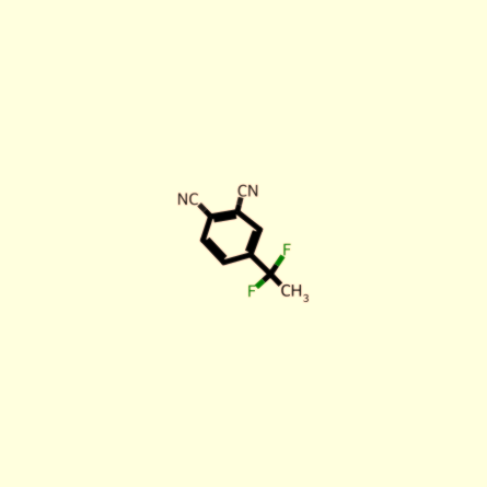 CC(F)(F)c1ccc(C#N)c(C#N)c1